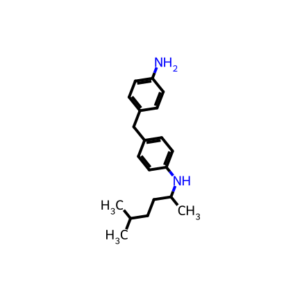 CC(C)CCC(C)Nc1ccc(Cc2ccc(N)cc2)cc1